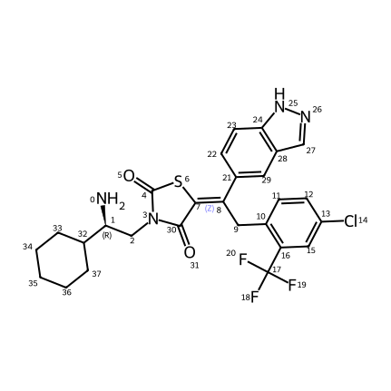 N[C@@H](CN1C(=O)S/C(=C(/Cc2ccc(Cl)cc2C(F)(F)F)c2ccc3[nH]ncc3c2)C1=O)C1CCCCC1